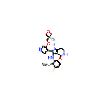 CCC1(COc2cnccc2-c2[nH]c3c(c2Nc2cccc(F)c2OC)C(=O)NCC3)COC1